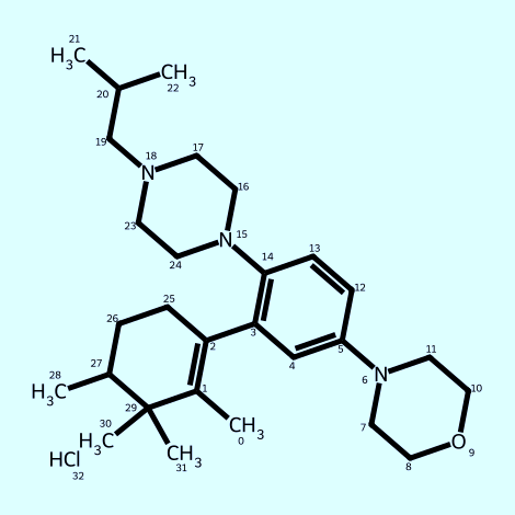 CC1=C(c2cc(N3CCOCC3)ccc2N2CCN(CC(C)C)CC2)CCC(C)C1(C)C.Cl